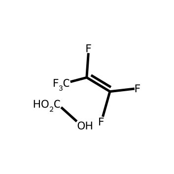 FC(F)=C(F)C(F)(F)F.O=C(O)O